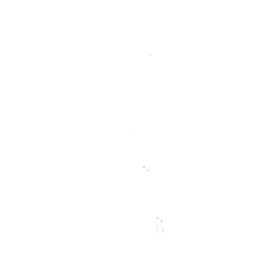 Fc1cc(F)cc(COc2cccc(CNCC3CNC3)c2)c1